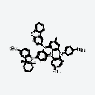 Cc1cc2c3c(c1)N(c1ccc4sc5ccccc5c4c1)c1cc(N4c5ccc(C(C)(C)C)cc5C5(C)CCCCC45C)ccc1B3c1cc(C(C)(C)C)ccc1N2c1ccc(C(C)(C)C)cc1